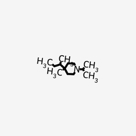 CCC(C)C1(C)CCN(C(C)C)CC1